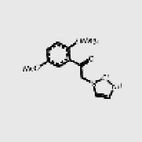 COc1ccc(OC)c(C(=O)CN2[C+]NC=C2)c1.[Br-]